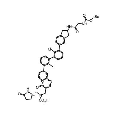 Cc1c(-c2ccn3c(=O)c(CN(C[C@@H]4CCC(=O)N4)C(=O)O)cnc3c2)cccc1-c1cccc(-c2ccc3c(c2)CC(NC(=O)CNC(=O)OC(C)(C)C)C3)c1Cl